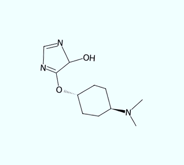 CN(C)[C@H]1CC[C@H](OC2=NC=NC2O)CC1